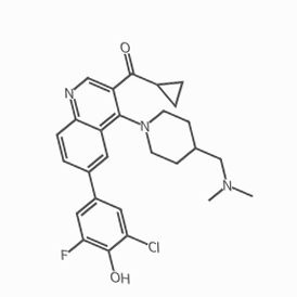 CN(C)CC1CCN(c2c(C(=O)C3CC3)cnc3ccc(-c4cc(F)c(O)c(Cl)c4)cc23)CC1